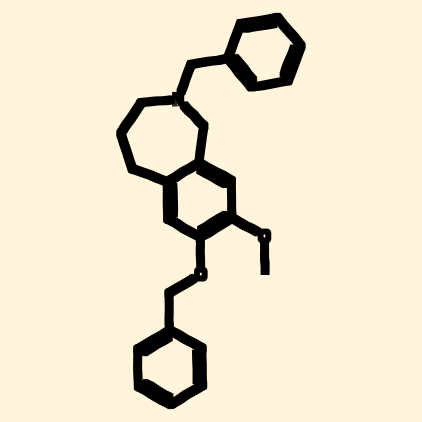 COc1cc2c(cc1OCc1ccccc1)CCCN(Cc1ccccc1)C2